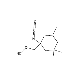 CC1CC(C)(C)CC(COC#N)(N=C=O)C1